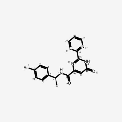 CC(=O)c1ccc([C@H](C)NC(=O)c2cc(=O)[nH]c(-c3ncccn3)n2)cc1